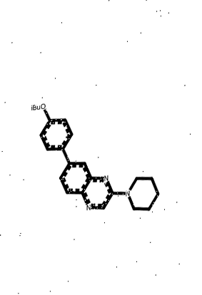 CC(C)COc1ccc(-c2ccc3ncc(N4CCCCC4)nc3c2)cc1